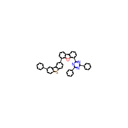 c1ccc(-c2ccc3sc4ccc(-c5cccc6c5oc5c(-c7nc(-c8ccccc8)nc(-c8ccccc8)n7)cccc56)cc4c3c2)cc1